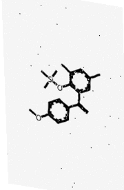 C=C(c1ccc(OC)cc1)c1cc(C)cc(C)c1O[Si](C)(C)C